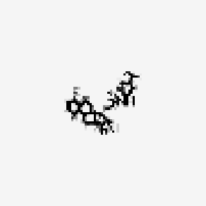 CC(C)c1ccc(NC(=O)CC[C@@H]2c3c[nH]nc3[C@@]3(C)CCC4c5cccc(F)c5CCC4C23)nc1